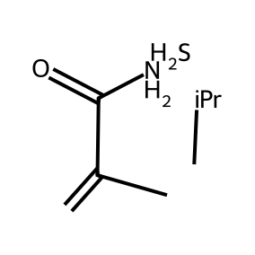 C=C(C)C(N)=O.CC(C)C.S